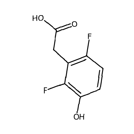 O=C(O)Cc1c(F)ccc(O)c1F